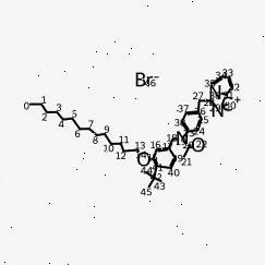 CCCCCCCCCCCCCCOc1cc(CN(C(C)=O)c2ccc(CC3=N[C+]=C4C=CC=CN43)cc2)ccc1C(C)(C)C.[Br-]